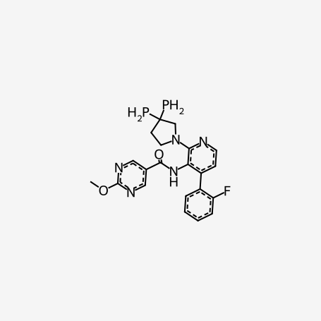 COc1ncc(C(=O)Nc2c(-c3ccccc3F)ccnc2N2CCC(P)(P)C2)cn1